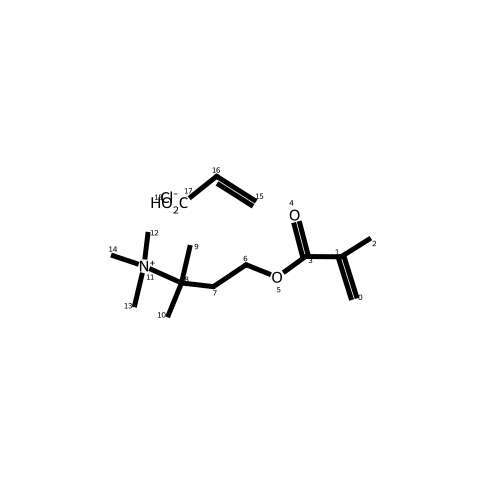 C=C(C)C(=O)OCCC(C)(C)[N+](C)(C)C.C=CC(=O)O.[Cl-]